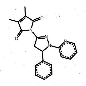 CC1=C(C)C(=O)N(C2=NN(c3ccccn3)C(c3ccccc3)C2)C1=O